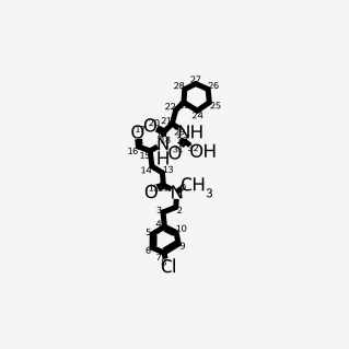 CN(CCc1ccc(Cl)cc1)C(=O)CCC(C=O)NC(=O)C(CC1CCCCC1)NC(=O)O